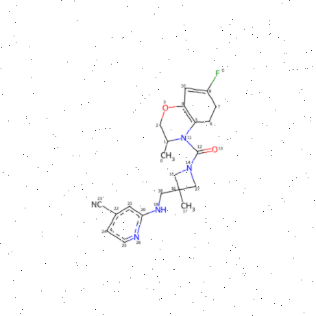 CC1COC2=C(CCC(F)=C2)N1C(=O)N1CC(C)(CNc2cc(C#N)ccn2)C1